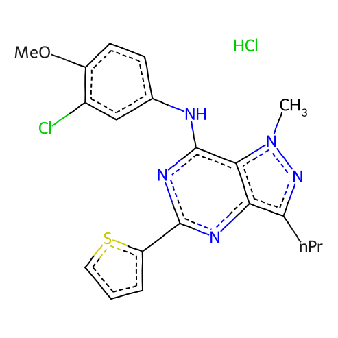 CCCc1nn(C)c2c(Nc3ccc(OC)c(Cl)c3)nc(-c3cccs3)nc12.Cl